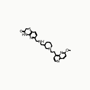 COc1ccc2nccc(CCN3CCCC(CNCc4ccc5c(n4)NC(=O)CS5)C3)c2n1